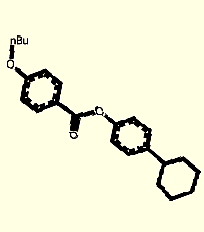 CCCCOc1ccc(C(=O)Oc2ccc(C3CC[CH]CC3)cc2)cc1